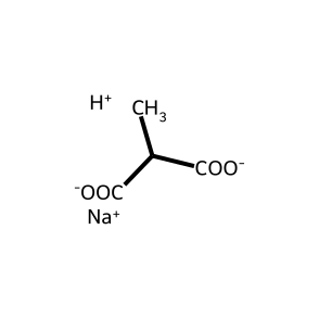 CC(C(=O)[O-])C(=O)[O-].[H+].[Na+]